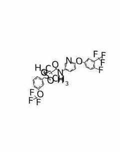 CC(C)(C(=O)Nc1ccc(Oc2ccc(F)c(C(F)(F)F)c2)nc1)S(=O)(=O)c1cccc(OC(F)(F)F)c1